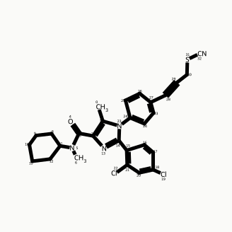 Cc1c(C(=O)N(C)C2CCCCC2)nc(-c2ccc(Cl)cc2Cl)n1-c1ccc(C#CCSC#N)cc1